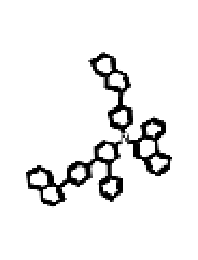 c1ccc(-c2cc(N(c3ccc(-c4ccc5ccccc5c4)cc3)c3cc4ccccc4c4ccccc34)ccc2-c2ccc(-c3cccc4ccccc34)cc2)cc1